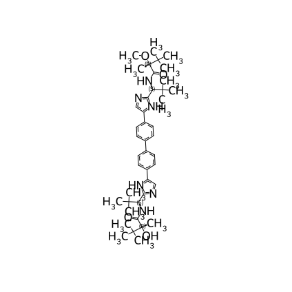 CO[C@@](C)(C(=O)N[C@H](c1ncc(-c2ccc(-c3ccc(-c4cnc([C@@H](NC(=O)[C@](C)(O)C(C)(C)C)C(C)(C)C)[nH]4)cc3)cc2)[nH]1)C(C)(C)C)C(C)(C)C